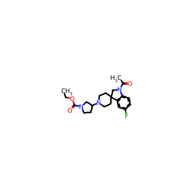 CCOC(=O)N1CCC(N2CCC3(CC2)CN(C(C)=O)c2ccc(F)cc23)C1